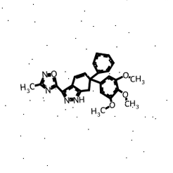 COc1cc(C2(c3ccccc3)C=Cc3c(-c4nc(C)no4)n[nH]c3C2)cc(OC)c1OC